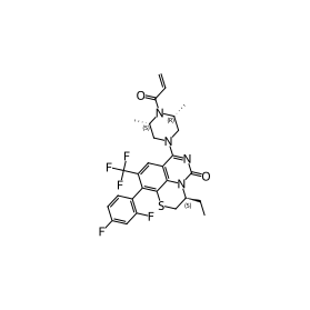 C=CC(=O)N1[C@H](C)CN(c2nc(=O)n3c4c(c(-c5ccc(F)cc5F)c(C(F)(F)F)cc24)SC[C@@H]3CC)C[C@@H]1C